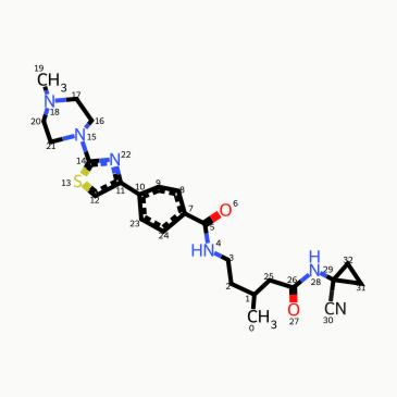 CC(CCNC(=O)c1ccc(-c2csc(N3CCN(C)CC3)n2)cc1)CC(=O)NC1(C#N)CC1